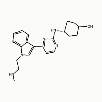 CNCCn1cc(-c2ccnc(N[C@H]3CC[C@H](O)CC3)n2)c2cccnc21